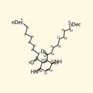 CCCCCCCCCCCCCCCCCC(=O)C1=C(C(=O)CCCCCCCCCCCCCCCCC)C(=N)C=CC1=N